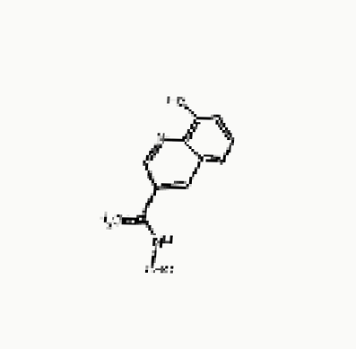 C=C(NC=O)c1cnc2c(O)cccc2c1